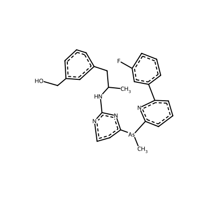 CC(Cc1cccc(CO)c1)Nc1nccc([As](C)c2cccc(-c3cccc(F)c3)n2)n1